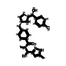 CCC(c1cc(C)[nH]n1)N(C)C(=O)c1ccc(C[C@@H]2CC[C@H]([C@H](O)c3ccc(Cl)nc3)N2)cc1